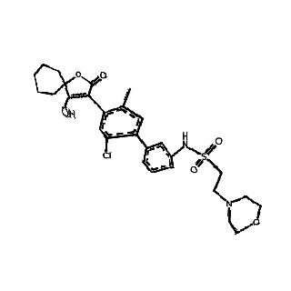 Cc1cc(-c2cccc(NS(=O)(=O)CCN3CCOCC3)c2)c(Cl)cc1C1=C(O)C2(CCCCC2)OC1=O